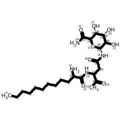 CCCCCCCCCCC(N)C(=O)NC(CC(=O)N[C@@H]1OC(C(N)=O)[C@H](O)[C@H](O)C1O)C(C)=O